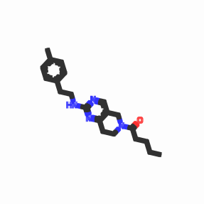 CCCCC(=O)N1CCc2nc(NCCc3ccc(C)cc3)ncc2C1